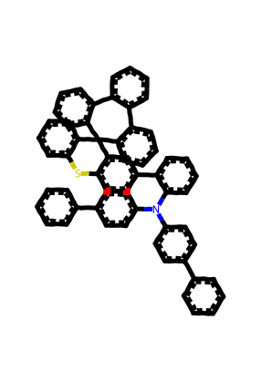 c1ccc(-c2ccc(N(c3ccc(-c4ccccc4)cc3)c3ccccc3-c3ccc4c(c3)C3(c5ccccc5S4)c4ccccc4-c4ccccc4-c4ccccc43)cc2)cc1